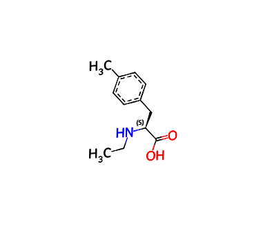 CCN[C@@H](Cc1ccc(C)cc1)C(=O)O